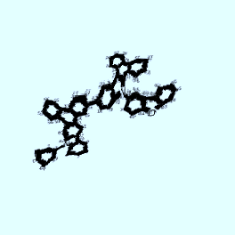 c1ccc(-n2c3ccccc3c3cc4c5cc(-c6ccc7c(c6)c6c8ccccc8c8ccccc8c6n7-c6ccc7oc8ccccc8c7c6)ccc5c5ccccc5c4cc32)cc1